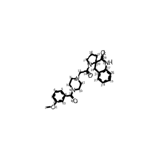 COc1cccc(C(=O)N2CCN(CC(=O)N3CCCC34Cc3ccccc3NC4=O)CC2)c1